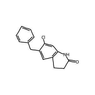 O=C1CCc2cc(Cc3ccccc3)c(Cl)cc2N1